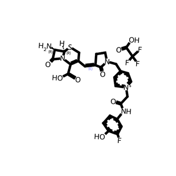 N[C@@H]1C(=O)N2C(C(=O)O)=C(/C=C3\CCN(Cc4cc[n+](CC(=O)Nc5ccc(O)c(F)c5)cc4)C3=O)CS[C@H]12.O=C(O)C(F)(F)F